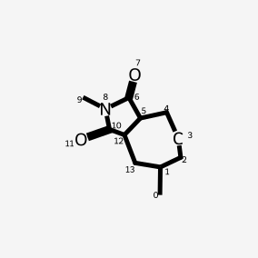 CC1CCCC2C(=O)N(C)C(=O)C2C1